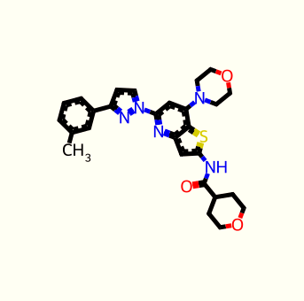 Cc1cccc(-c2ccn(-c3cc(N4CCOCC4)c4sc(NC(=O)C5CCOCC5)cc4n3)n2)c1